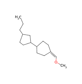 CCCC1CCC(C2CCC(=COC)CC2)C1